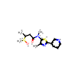 Bc1nc(-c2cccnc2)sc1N(C)C(=O)CC(C)[S+](C)[O-]